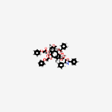 CC(=O)O[C@@]12CO[C@@H]1C[C@H](OC(=O)COc1ccccc1)[C@@]1(C)C(=O)[C@H](OC(=O)COc3ccccc3)C3=C(C)[C@@H](OC(=O)[C@@H]4OC(c5ccccc5)=N[C@H]4c4ccccc4)C[C@@](O)([C@@H](OC(=O)c4ccccc4)[C@H]21)C3(C)C